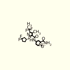 Cc1c(C(C)(F)F)nn(C[C@H]2CCC(F)(F)C2)c1C(=O)Nc1cc[n+]([O-])c(C(N)=O)c1